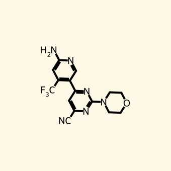 N#Cc1cc(-c2cnc(N)cc2C(F)(F)F)nc(N2CCOCC2)n1